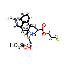 C=CCN1C[C@H](C(=O)OCCCF)CC2c3cccc4c3c(cn4CCC)C[C@H]21.O=S(=O)(O)O